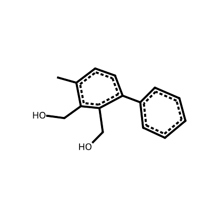 Cc1ccc(-c2ccccc2)c(CO)c1CO